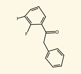 O=C(Cc1ccccc1)c1cccc(I)c1F